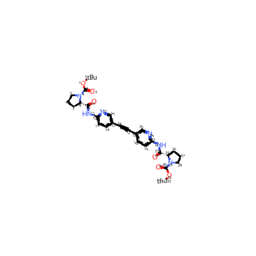 CC(C)(C)OC(=O)N1CCC[C@H]1C(=O)Nc1ccc(C#Cc2ccc(NC(=O)[C@@H]3CCCN3C(=O)OC(C)(C)C)nc2)cn1